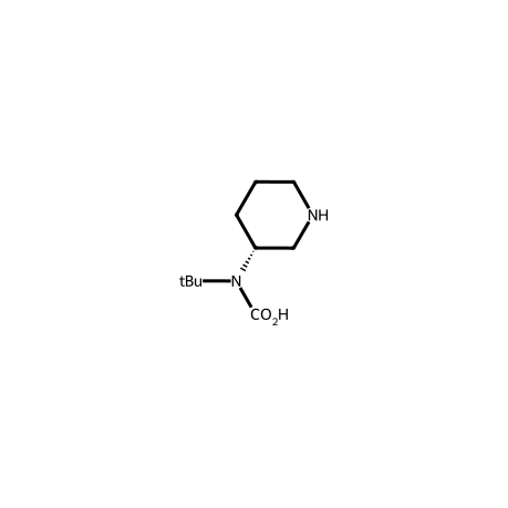 CC(C)(C)N(C(=O)O)[C@@H]1CCCNC1